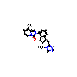 Cn1cnnc1C[C@H]1CCc2c1cccc2-n1cc2c(C(F)(F)F)cccn2c1=O